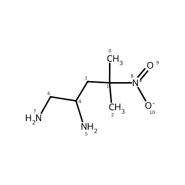 CC(C)(CC(N)CN)[N+](=O)[O-]